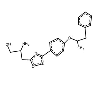 CC(Cc1ccccc1)Oc1ccc(-c2noc(CC(N)CO)n2)cc1